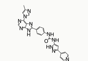 Cc1cn(-c2ncnc3[nH]c(-c4ccc(NC(=O)Nc5cc(-c6ccncc6)n[nH]5)cc4)nc23)cn1